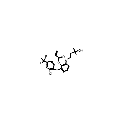 C=CC(=O)Oc1c(OCCC(C)(C)O)cccc1Oc1ncc(C(F)(F)F)cc1Cl